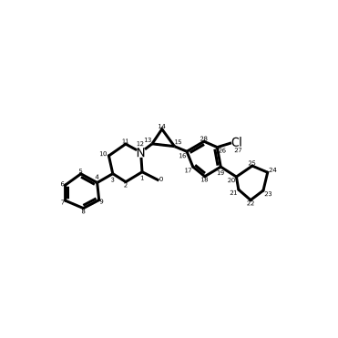 CC1CC(c2ccccc2)CCN1C1CC1c1ccc(C2CCCCC2)c(Cl)c1